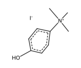 C[N+](C)(C)c1ccc(O)cc1.[I-]